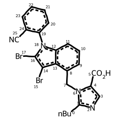 CCCCc1ncc(C(=O)O)n1Cc1cccc2c1c(Br)c(Br)n2-c1ccccc1C#N